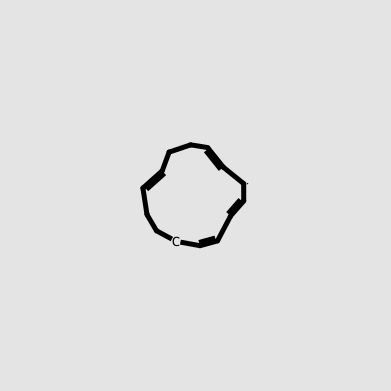 [CH]1/C=C/C=C\CCC/C=C/CC/C=C/1